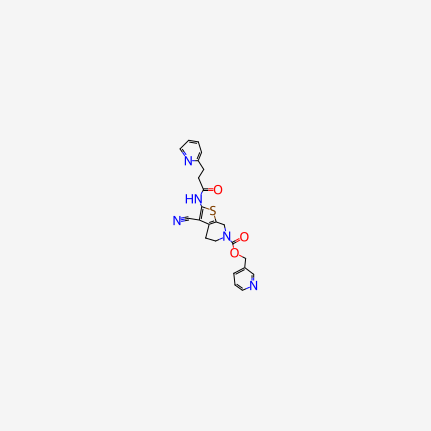 N#Cc1c(NC(=O)CCc2ccccn2)sc2c1CCN(C(=O)OCc1cccnc1)C2